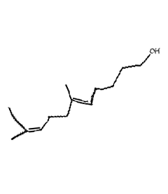 CC(C)=CCC/C(C)=C/CCCCO